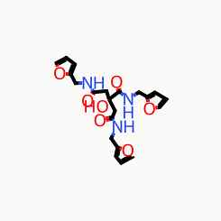 O=C(CC(O)(CC(=O)NCc1ccco1)C(=O)NCc1ccco1)NCc1ccco1